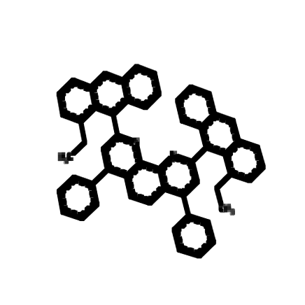 CCc1cccc2cc3ccccc3c(-c3cc(-c4ccccc4)c4ccc5c(-c6ccccc6)cc(-c6c7ccccc7cc7cccc(CC)c67)nc5c4n3)c12